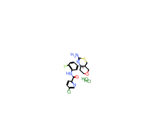 Cl.Cl.NC1=N[C@]2(c3ccc(F)c(NC(=O)c4ccc(Cl)cn4)c3)CCOCC2CS1